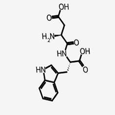 N[C@@H](CC(=O)O)C(=O)N[C@@H](Cc1c[nH]c2ccccc12)C(=O)O